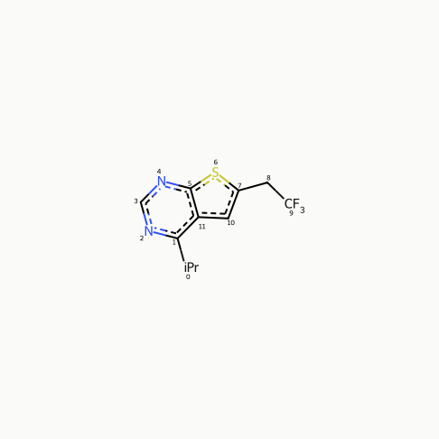 CC(C)c1ncnc2sc(CC(F)(F)F)cc12